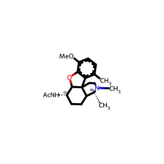 COc1ccc(C)c2c1OC1[C@@H](NC(C)=O)CCC3[C@@H](C)N(C)CCC213